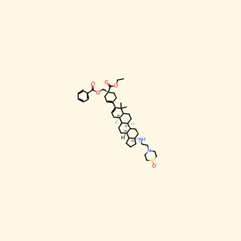 CCOC(=O)C1(COC(=O)c2ccccc2)CC=C(C2=CC[C@@]3(C)C(CC[C@@]4(C)C5CC[C@@]6(NCCN7CC[S+]([O-])CC7)CCCC6[C@H]5CCC43)C2(C)C)CC1